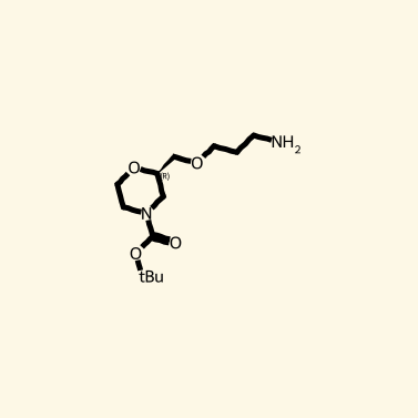 CC(C)(C)OC(=O)N1CCO[C@@H](COCCCN)C1